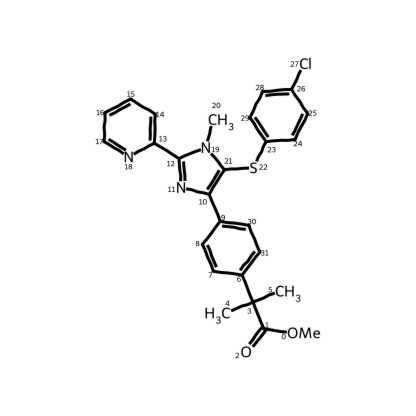 COC(=O)C(C)(C)c1ccc(-c2nc(-c3ccccn3)n(C)c2Sc2ccc(Cl)cc2)cc1